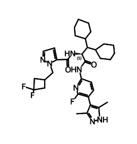 Cc1n[nH]c(C)c1-c1ccc(NC(=O)[C@@H](NC(=O)c2ccnn2CC2CC(F)(F)C2)C(C2CCCCC2)C2CCCCC2)nc1F